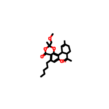 C=C(C)C1CCC(C)=CC1c1c(O)cc(CCCCC)c2c1OC(C)(COC)OC2=O